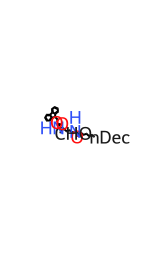 CCCCCCCCCCCCCCCC(=O)NCCCCC(C=O)NC(=O)OCC1c2ccccc2-c2ccccc21